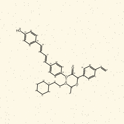 C=Cc1ccc(C(OC(C)OCCC2CCCCC2)C(=O)Oc2ccc(C=CC=Cc3ccc(O)cc3)cc2)cc1